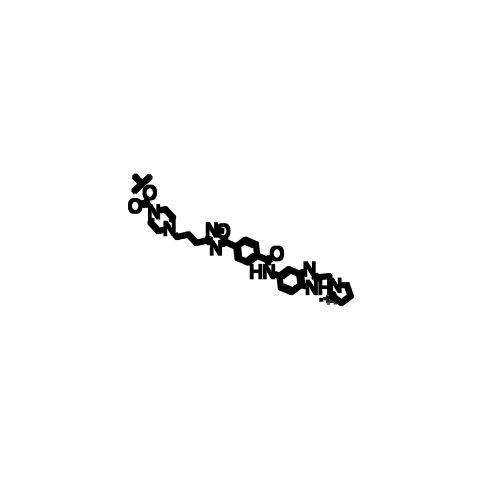 C[C@H]1CCCN1Cc1nc2cc(NC(=O)c3ccc(-c4nc(CCCN5CCN(C(=O)OC(C)(C)C)CC5)no4)cc3)ccc2[nH]1